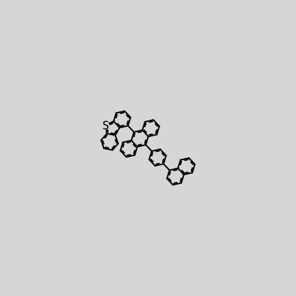 c1ccc2c(-c3ccc(-c4c5ccccc5c(-c5cccc6sc7ccccc7c56)c5ccccc45)cc3)cccc2c1